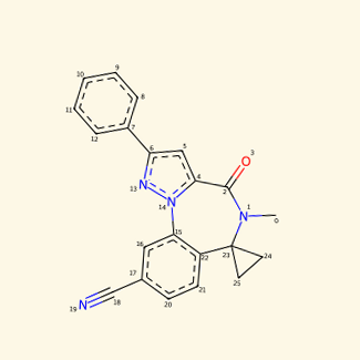 CN1C(=O)c2cc(-c3ccccc3)nn2-c2cc(C#N)ccc2C12CC2